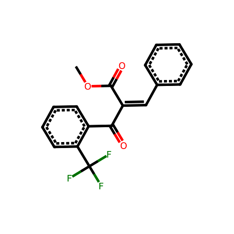 COC(=O)C(=Cc1ccccc1)C(=O)c1ccccc1C(F)(F)F